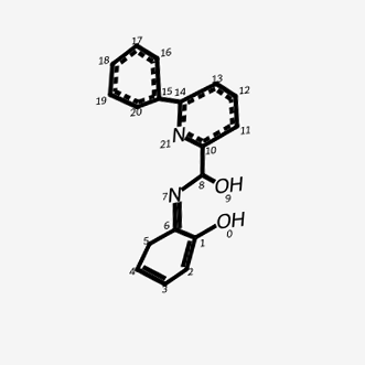 OC1=CC=CCC1=NC(O)c1cccc(-c2ccccc2)n1